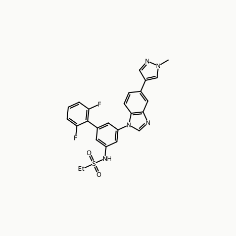 CCS(=O)(=O)Nc1cc(-c2c(F)cccc2F)cc(-n2cnc3cc(-c4cnn(C)c4)ccc32)c1